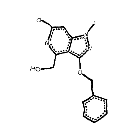 OCc1nc(Cl)cc2c1c(OCc1ccccc1)nn2I